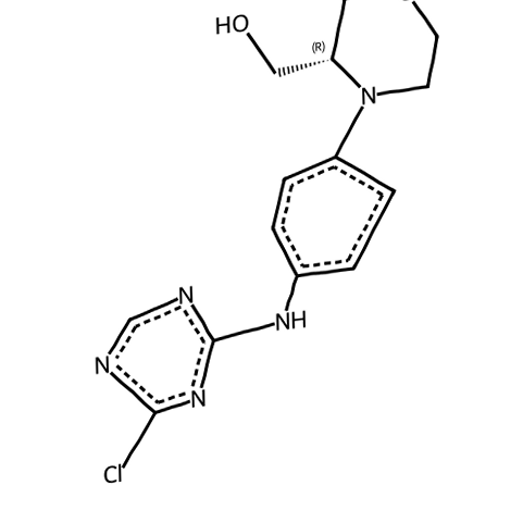 OC[C@@H]1COCCN1c1ccc(Nc2ncnc(Cl)n2)cc1